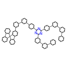 c1ccc(-c2cccc(-c3cccc(-c4ccc(-c5nc(-c6ccc(-c7cccc(-c8cccc(-c9ccc%10c(c9)C9(c%11ccccc%11-c%11ccccc%119)c9ccccc9-%10)c8)c7)cc6)nc(-c6cccc(-c7cccc(-c8ccccc8)c7)c6)n5)cc4)c3)c2)cc1